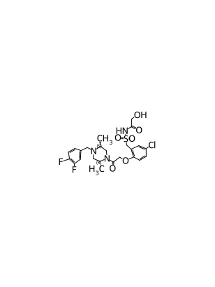 C[C@@H]1CN(Cc2ccc(F)c(F)c2)[C@@H](C)CN1C(=O)COc1ccc(Cl)cc1CS(=O)(=O)NC(=O)CO